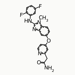 Cn1c(Nc2cc(F)ccc2F)nc2cc(Oc3ccnc(CC(N)=O)c3)ccc21